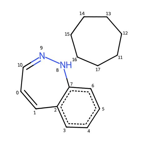 C1=Cc2ccccc2NN=C1.C1CCCCCC1